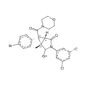 C[C@]12C(O)N(c3cc(Cl)cc(Cl)c3)C(=O)[C@H]1[C@@]2(C(=O)N1CCOCC1)c1ccc(Br)cc1